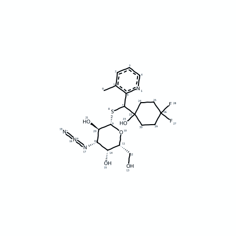 Cc1cccnc1C(S[C@@H]1O[C@H](CO)[C@H](O)[C@H](N=[N+]=[N-])[C@H]1O)C1(O)CCC(F)(F)CC1